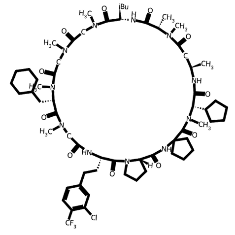 CC[C@H](C)[C@@H]1NC(=O)[C@H](C)N(C)C(=O)C[C@@H](C)NC(=O)[C@H](C2CCCC2)N(C)C(=O)C2(CCCC2)NC(=O)[C@@H]2CCCN2C(=O)[C@H](CCc2ccc(C(F)(F)F)c(Cl)c2)NC(=O)CN(C)C(=O)[C@H](CC2CCCCC2)N(C)C(=O)CN(C)C(=O)CN(C)C1=O